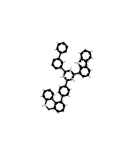 c1ccc(-c2cccc(-c3nc(-c4ccc(-c5cccc6c5-c5ccccc5OC6)cc4)nc(-c4cccc5c4oc4ccccc45)n3)c2)cc1